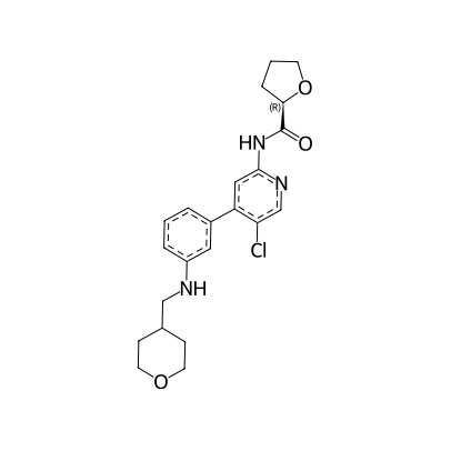 O=C(Nc1cc(-c2cccc(NCC3CCOCC3)c2)c(Cl)cn1)[C@H]1CCCO1